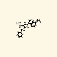 Nc1ncnc2c1ncn2[C@H]1CC(OC(=O)c2ccccc2)[C@@H](CO)O1